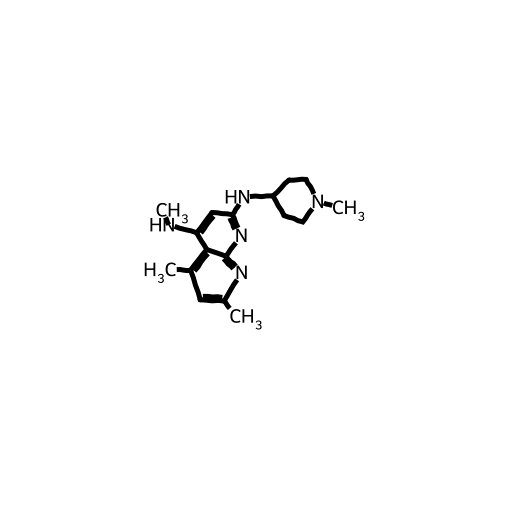 CNc1cc(NC2CCN(C)CC2)nc2nc(C)cc(C)c12